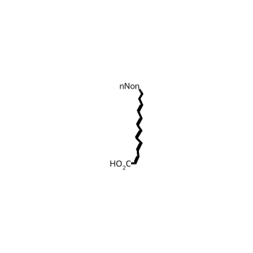 CCCCCCCCCCCC=CC=CC=CC=C/C=C\C(=O)O